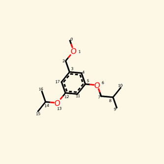 COCc1cc(OCC(C)C)cc(OC(C)C)c1